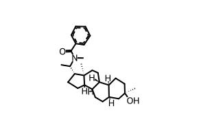 CC([C@H]1CC[C@H]2[C@@H]3CC[C@@H]4C[C@](C)(O)CC[C@@H]4[C@H]3CC[C@]12C)N(C)C(=O)c1ccccc1